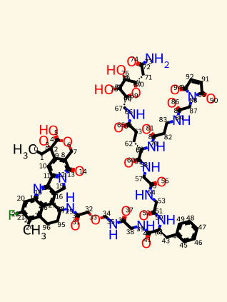 CC[C@@]1(O)C(=O)OCc2c1cc1n(c2=O)Cc2c-1nc1cc(F)c(C)c3c1c2[C@@H](NC(=O)COCNC(=O)CNC(=O)[C@H](Cc1ccccc1)NC(=O)CNC(=O)CNC(=O)[C@H](CCC(=O)NC[C@H]1O[C@@H](CC(N)=O)[C@H](O)[C@@H]1O)NC(=O)CCNC(=O)CN1C(=O)C=CC1=O)CC3